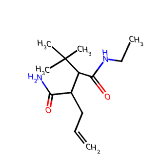 C=CCC(C(N)=O)C(C(=O)NCC)C(C)(C)C